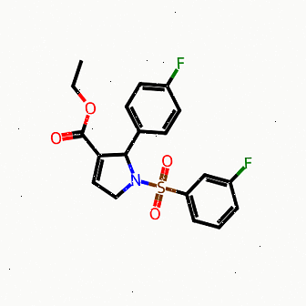 CCOC(=O)C1=CCN(S(=O)(=O)c2cccc(F)c2)C1c1ccc(F)cc1